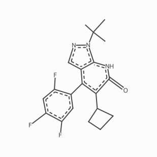 CC(C)(C)n1ncc2c(-c3cc(F)c(F)cc3F)c(C3CCC3)c(=O)[nH]c21